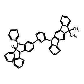 CC1(C)c2ccccc2-c2cc3c(cc21)c1ccccc1n3-c1cccc(-c2ccc3c(c2)N(c2ccccc2)P(=O)(c2ccccc2)N3c2ccccc2)c1